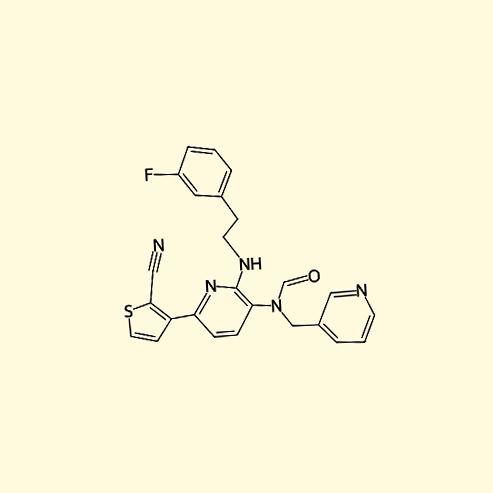 N#Cc1sccc1-c1ccc(N(C=O)Cc2cccnc2)c(NCCc2cccc(F)c2)n1